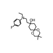 CCN(CCC1(O)CCC2(CC1)OCC(C)(C)CO2)c1ccc(F)cc1